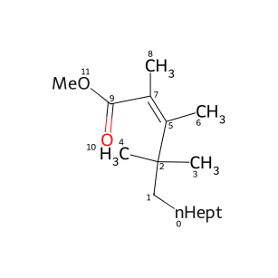 CCCCCCCCC(C)(C)C(C)=C(C)C(=O)OC